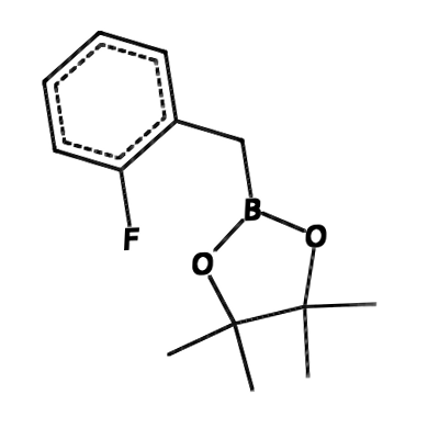 CC1(C)OB(Cc2ccccc2F)OC1(C)C